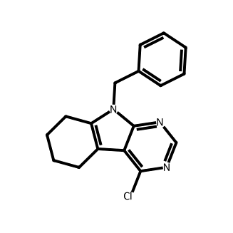 Clc1ncnc2c1c1c(n2Cc2ccccc2)CCCC1